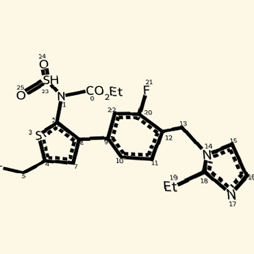 CCOC(=O)N(c1sc(CC(C)C)cc1-c1ccc(Cn2ccnc2CC)c(F)c1)[SH](=O)=O